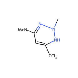 CNC1=NN(C)NC(C(Cl)(Cl)Cl)=C1